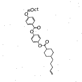 C=CCCCC1CCC(C(=O)Oc2ccc(OC(=O)c3ccc(OCCCCCCCC)cc3)cc2)CC1